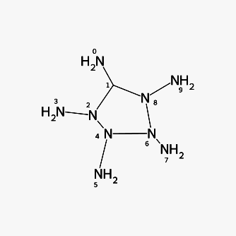 NC1N(N)N(N)N(N)N1N